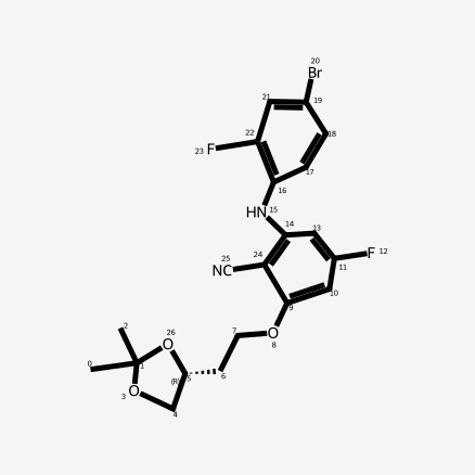 CC1(C)OC[C@@H](CCOc2cc(F)cc(Nc3ccc(Br)cc3F)c2C#N)O1